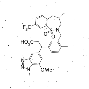 COc1cc(C(CC(=O)O)c2ccc(C)c(CN3C[C@@H](C)Cc4ccc(C(F)(F)F)cc4S3(=O)=O)c2)cc2nnn(C)c12